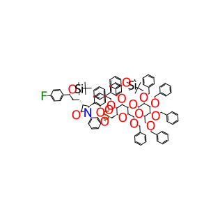 CC(C)(C)[Si](C)(C)Oc1ccc(-c2ccc([C@@H]3[C@@H](CC[C@H](O[Si](C)(C)C(C)(C)C)c4ccc(F)cc4)C(=O)N3c3ccccc3)c(OS(=O)(=O)C[C@@H]3OC(COCc4ccccc4)[C@@H](O[C@@H]4OC(COCc5ccccc5)[C@@H](OCc5ccccc5)[C@@H](OCc5ccccc5)C4OCc4ccccc4)[C@@H](OCc4ccccc4)C3OCc3ccccc3)c2)cc1